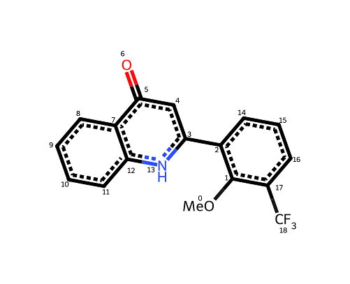 COc1c(-c2cc(=O)c3ccccc3[nH]2)cccc1C(F)(F)F